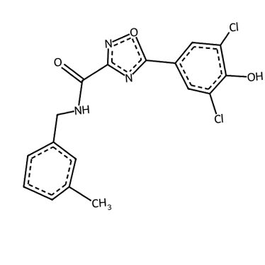 Cc1cccc(CNC(=O)c2noc(-c3cc(Cl)c(O)c(Cl)c3)n2)c1